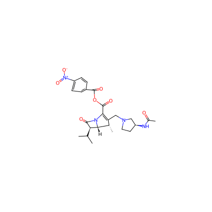 CC(=O)N[C@H]1CCN(CC2=C(C(=O)OC(=O)c3ccc([N+](=O)[O-])cc3)N3C(=O)[C@H](C(C)C)[C@H]3[C@H]2C)C1